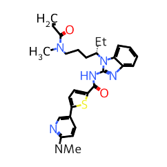 C=CC(=O)N(C)CCC[C@H](CC)n1c(NC(=O)c2ccc(-c3ccc(NC)nc3)s2)nc2ccccc21